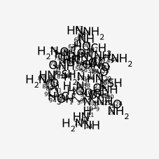 CCCC[C@H](NC(=O)[C@H](CCCNC(=N)N)NC(=O)[C@H](CCC(N)=O)NC(=O)[C@H](CS)NC(=O)[C@H](CCCCN)NC(=O)[C@@H](CCN)NC(=O)[C@@H](NC(=O)[C@H](CCN)NC(=O)[C@H](CCCNC(=N)N)NC(=O)[C@H](CC(N)=O)NC(=O)[C@H](CS)NC(=O)[C@@H](N)Cc1ccc(O)cc1)[C@@H](C)O)C(=O)O